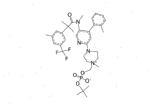 Cc1cc(C(F)(F)F)cc(C(C)(C)C(=O)N(C)c2cnc(N3CC[N+](C)(COP(=O)([O-])OC(C)(C)C)CC3)cc2-c2ccccc2C)c1